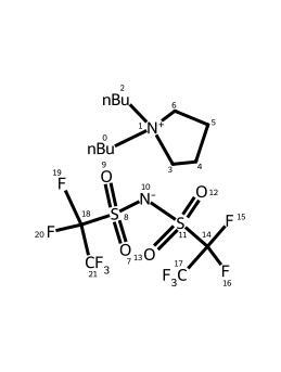 CCCC[N+]1(CCCC)CCCC1.O=S(=O)([N-]S(=O)(=O)C(F)(F)C(F)(F)F)C(F)(F)C(F)(F)F